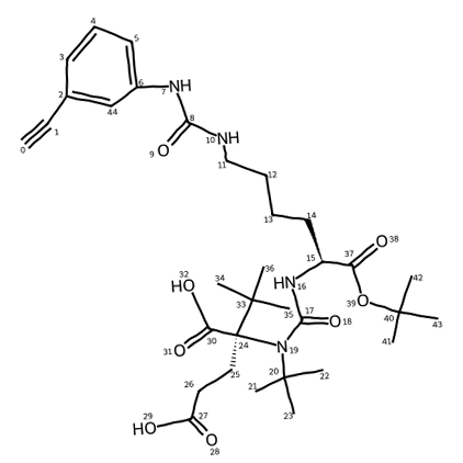 C#Cc1cccc(NC(=O)NCCCC[C@H](NC(=O)N(C(C)(C)C)[C@@](CCC(=O)O)(C(=O)O)C(C)(C)C)C(=O)OC(C)(C)C)c1